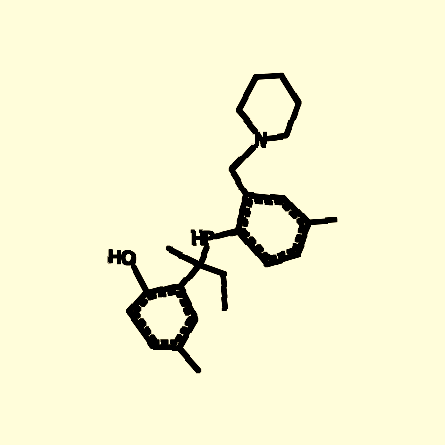 CCC(C)(Pc1ccc(C)cc1CN1CCCCC1)c1cc(C)ccc1O